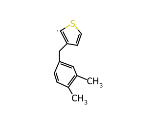 Cc1ccc(Cc2[c]scc2)cc1C